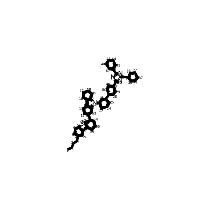 CCCCc1ccc2sc3c(-c4ccc5c6ccccc6n(-c6cccc(-c7ccc(-c8nc(-c9ccccc9)nc(-c9ccccc9)n8)cc7)c6)c5c4)cccc3c2c1